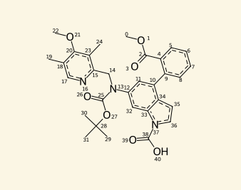 COC(=O)c1ccccc1-c1cc(N(Cc2ncc(C)c(OC)c2C)C(=O)OC(C)(C)C)cc2c1ccn2C(=O)O